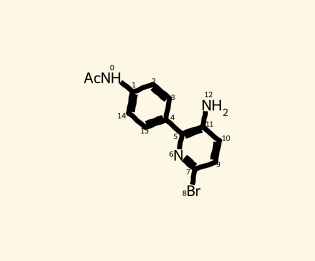 CC(=O)Nc1ccc(-c2nc(Br)ccc2N)cc1